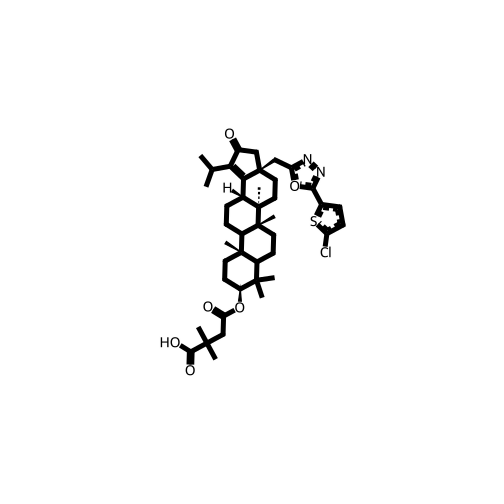 CC(C)C1=C2[C@H]3CCC4[C@@]5(C)CC[C@H](OC(=O)CC(C)(C)C(=O)O)C(C)(C)C5CC[C@@]4(C)[C@]3(C)CC[C@@]2(Cc2nnc(-c3ccc(Cl)s3)o2)CC1=O